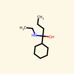 CCCC(O)(NCC)C1CCCCC1